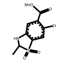 CCc1cc2c(cc1C(=O)OC)NC(C)S2(=O)=O